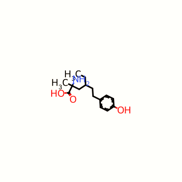 CCC(CCc1ccc(O)cc1)CC(C)(N)C(=O)O